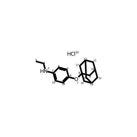 CCNc1ccc(OC23CC4CC(CC(C4)C2)C3)cc1.Cl